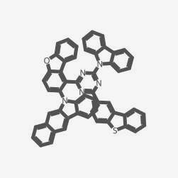 c1ccc2cc3c(cc2c1)c1ccccc1n3-c1ccc2oc3ccccc3c2c1-c1nc(-c2ccc3sc4ccccc4c3c2)nc(-n2c3ccccc3c3ccccc32)n1